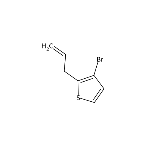 C=CCc1sccc1Br